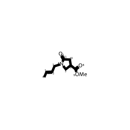 CC=CCN1CC(C(=O)OC)CC1=O